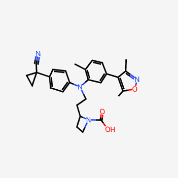 Cc1ccc(-c2c(C)noc2C)cc1N(CCC1CCN1C(=O)O)c1ccc(C2(C#N)CC2)cc1